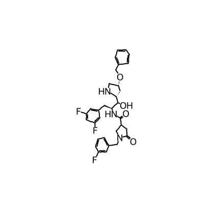 O=C(N[C@@H](Cc1cc(F)cc(F)c1)[C@H](O)[C@H]1C[C@@H](OCc2ccccc2)CN1)C1CC(=O)N(Cc2cccc(F)c2)C1